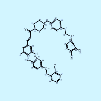 Cc1cc(C=CC(=O)N2CCN(Cc3ccc(CCOc4ccc(Cl)c(Cl)c4)cc3)CC2)cc(Cl)c1Oc1ccc(OCc2ccccc2F)cn1